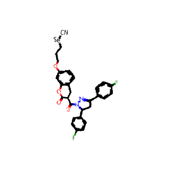 N#C[Se]CCCOc1ccc2c(c1)OC(=O)C(C(=O)N1N=C(c3ccc(F)cc3)CC1c1ccc(F)cc1)C2